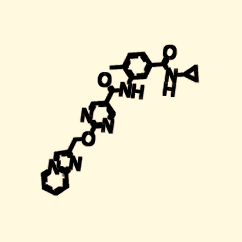 Cc1ccc(C(=O)NC2CC2)cc1NC(=O)c1cnc(OCc2cn3ccccc3n2)nc1